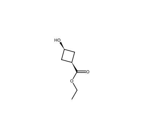 CCOC(=O)[C@H]1C[C@@H](O)C1